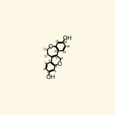 Oc1ccc2c(c1)OCC1=C2CCOc2cc(O)ccc21